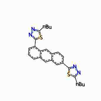 CCCCc1nnc(-c2ccc3cc4c(-c5nnc(CCCC)s5)cccc4cc3c2)s1